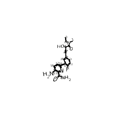 CCN(C)C(=O)[C@H](O)C#Cc1ccc(F)c(-c2ccc(N)c(C(N)=O)n2)c1